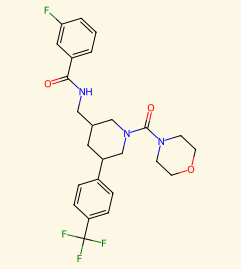 O=C(NCC1CC(c2ccc(C(F)(F)F)cc2)CN(C(=O)N2CCOCC2)C1)c1cccc(F)c1